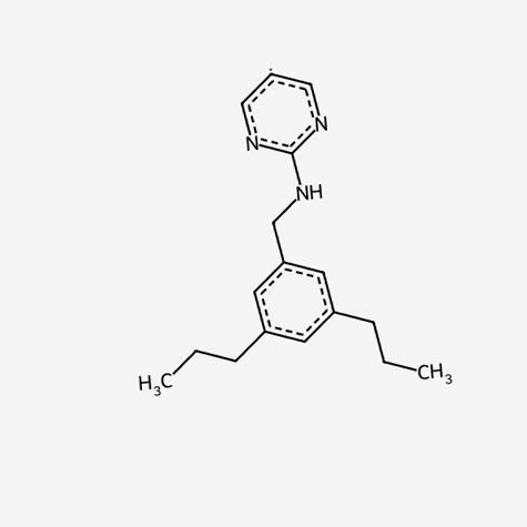 CCCc1cc(CCC)cc(CNc2nc[c]cn2)c1